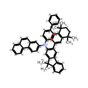 CC1(C)CCC(C)(C)c2cc(-c3cc4c(cc3N(c3ccc(-c5ccccc5)cc3)c3ccc5c(ccc6ccccc65)c3)C(C)(C)c3ccccc3-4)ccc21